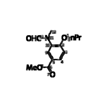 CCCOc1ccc(C(=O)OC)cc1N(C)C=O